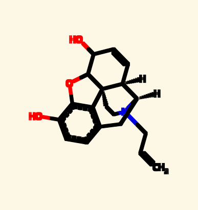 C=CCN1CC[C@]23c4c5ccc(O)c4OC2C(O)C=C[C@H]3[C@H]1C5